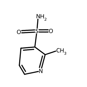 Cc1ncccc1S(N)(=O)=O